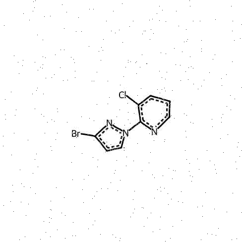 Clc1cccnc1-n1[c]cc(Br)n1